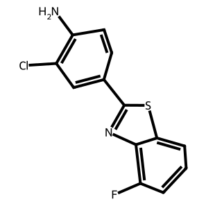 Nc1ccc(-c2nc3c(F)cccc3s2)cc1Cl